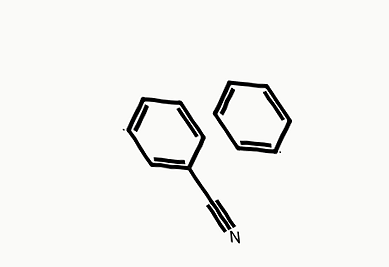 N#Cc1c[c]ccc1.[c]1ccccc1